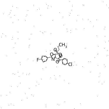 CCCS(=O)(=O)c1oc(-c2ccc(F)cc2)nc1S(=O)(=O)c1ccc(Cl)cc1